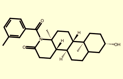 Cc1cccc(C(=O)N2C(=O)CC[C@H]3[C@@H]4CCC5C[C@@H](O)CC[C@]5(C)[C@H]4CC[C@@]32C)c1